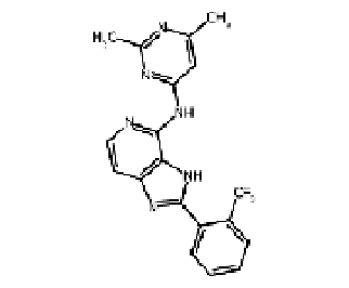 Cc1cc(Nc2nccc3nc(-c4ccccc4C(F)(F)F)[nH]c23)nc(C)n1